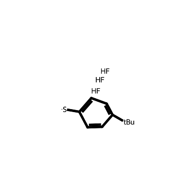 CC(C)(C)c1ccc([S])cc1.F.F.F